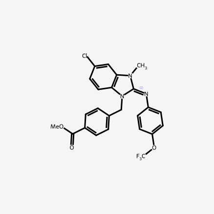 COC(=O)c1ccc(Cn2/c(=N\c3ccc(OC(F)(F)F)cc3)n(C)c3cc(Cl)ccc32)cc1